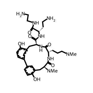 CNCCC[C@@H]1NC(=O)[C@@H](NC)Cc2cc(ccc2O)-c2ccc(O)c(c2)C[C@@H](C(=O)N[C@@H](CCN)C(=O)NCCN)NC1=O